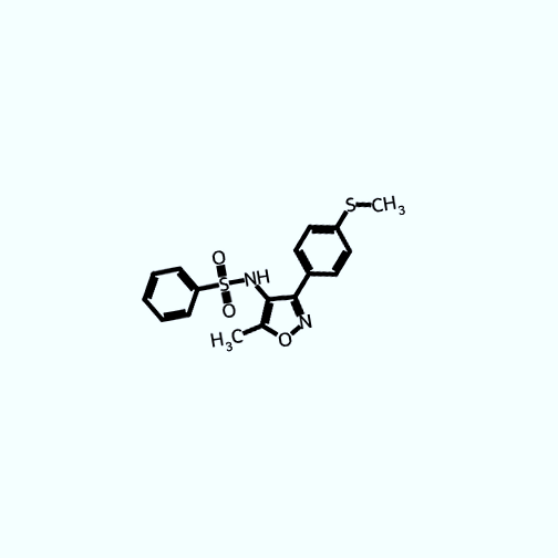 CSc1ccc(-c2noc(C)c2NS(=O)(=O)c2ccccc2)cc1